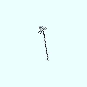 CCCCCCCCCCCCCCCCCCCC(C(=O)O)[N+](CC)(CC)CC